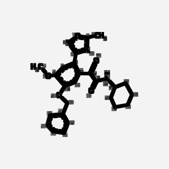 COc1cc(-c2noc(C)n2)c(C(=O)C(=O)NC2CCCCC2)cc1OCc1ccccc1